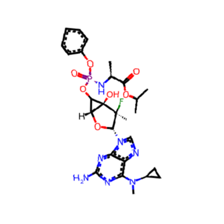 CC(C)OC(=O)[C@H](C)N[P@](=O)(Oc1ccccc1)OC1[C@H]2O[C@@H](n3cnc4c(N(C)C5CC5)nc(N)nc43)[C@](C)(F)[C@@]12O